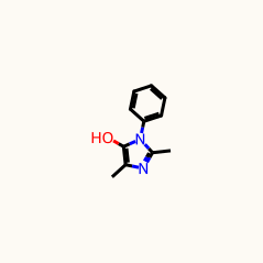 Cc1nc(C)n(-c2ccccc2)c1O